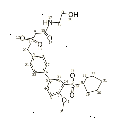 COc1ccc(-c2ccc(CS(=O)(=O)CC(=O)NCCO)cc2)cc1S(=O)(=O)C1CCCCC1